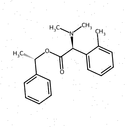 Cc1ccccc1[C@@H](C(=O)O[C@@H](C)c1ccccc1)N(C)C